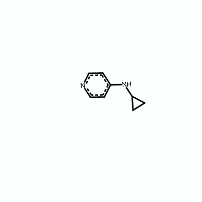 [c]1cc(NC2CC2)ccn1